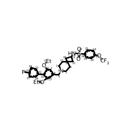 CCOc1cc(CN2CCC3(CC2)CC(NS(=O)(=O)c2ccc(OC(F)(F)F)cc2)C3)cc(OCC)c1-c1ccc(F)cc1